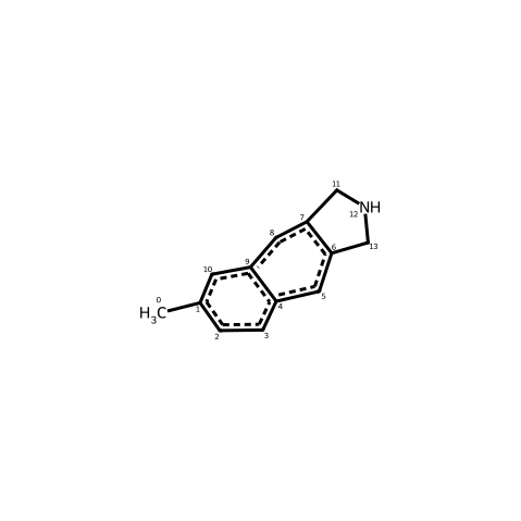 Cc1ccc2cc3c(cc2c1)CNC3